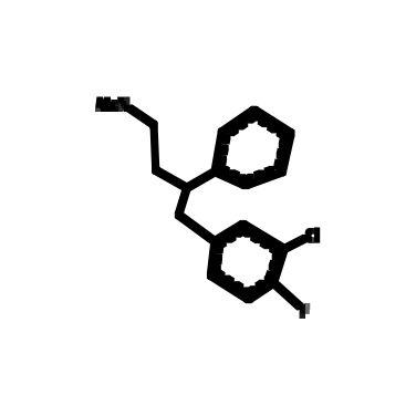 CNCCC(Cc1ccc(F)c(Cl)c1)c1ccccc1